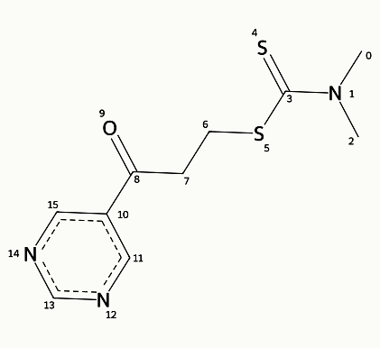 CN(C)C(=S)SCCC(=O)c1cncnc1